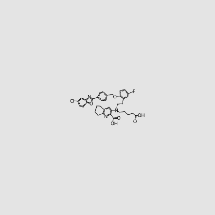 O=C(O)CCCCN(CCc1cc(F)ccc1OCc1ccc(-c2nc3cc(Cl)ccc3o2)cc1)c1cc2c(nc1C(=O)O)CCCC2